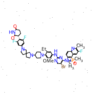 CCc1cc(Nc2ncc(Br)c(Nc3ccc4nc(C)c(F)cc4c3P(C)(C)=O)n2)c(OC)cc1N1CCC(N2CCC3(CCN(c4cc(F)c([C@H]5CCC(=O)NC5=O)c(F)c4)C3)C2)CC1